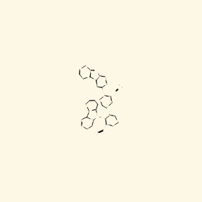 N#Cc1cc(-c2cccc(C#N)c2-n2c3ccccc3c3ccccc32)ccc1-c1ccc2sc3ccccc3c2c1